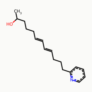 CC(O)CCCC=CC=CCCCc1ccccn1